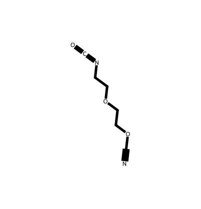 N#COCCOCCN=C=O